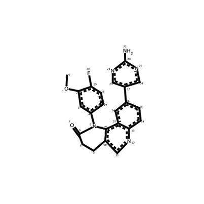 COc1cc(N2C(=O)CCc3cnc4ccc(-c5cnc(N)nc5)cc4c32)ccc1F